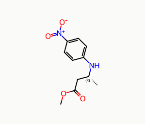 COC(=O)C[C@@H](C)Nc1ccc([N+](=O)[O-])cc1